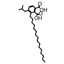 CCCCCCCCCCCCCCCCc1c(CC(C)C)ccc(C(=O)O)c1C(=O)O